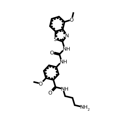 COc1ccc(NC(=O)Nc2nc3c(OC)cccc3s2)cc1C(=O)NCCCN